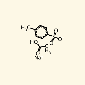 CC(=O)O.Cc1ccc(S(=O)(=O)[O-])cc1.[Na+]